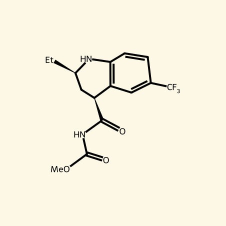 CC[C@@H]1C[C@H](C(=O)NC(=O)OC)c2cc(C(F)(F)F)ccc2N1